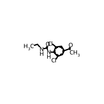 CCNC(=O)Nc1c(Cl)cc(C(C)=O)cc1Cl